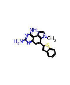 Cn1ccc2c3c(N)nc(N)nc3cc(-c3cc4ccccc4s3)c21